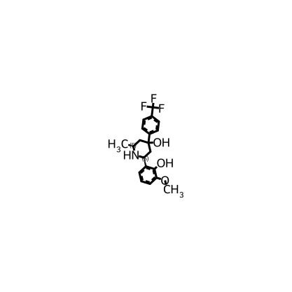 COc1cccc([C@@H]2CC(O)(c3ccc(C(F)(F)F)cc3)C[C@H](C)N2)c1O